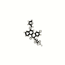 CS(=O)(=O)O/N=C(/C(=O)c1ccc(OCc2ccco2)c2ccccc12)c1ccc(Cl)cc1